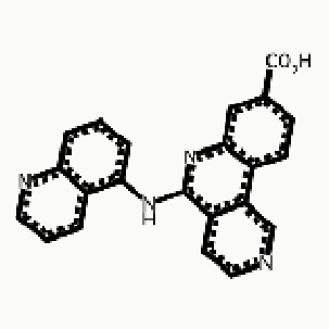 O=C(O)c1ccc2c(c1)nc(Nc1cccc3ncccc13)c1ccncc12